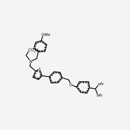 CCCC(CCC)c1ccc(OCc2ccc(-c3ccc(CN(CC(=O)O)Cc4ccc(OC)cc4)s3)cc2)cc1